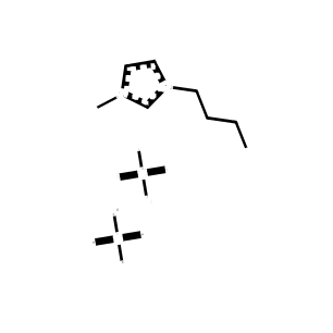 CCCCn1cc[n+](C)c1.O=S(=O)(O)O.O=S(=O)([O-])O